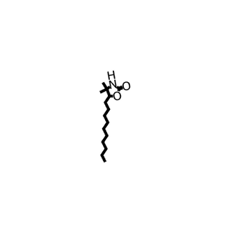 CCCCCCCCCCC1OC(=O)NC1(C)C